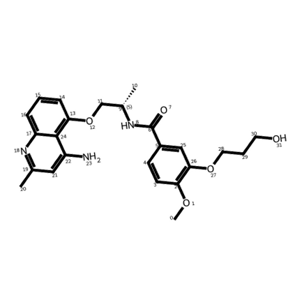 COc1ccc(C(=O)N[C@@H](C)COc2cccc3nc(C)cc(N)c23)cc1OCCCO